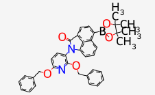 CC1(C)OB(c2ccc3c4c(cccc24)N(c2ccc(OCc4ccccc4)nc2OCc2ccccc2)C3=O)OC1(C)C